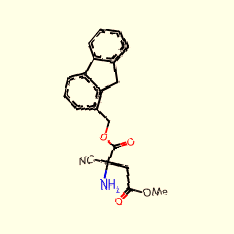 COC(=O)CC(N)(C#N)C(=O)OCc1cccc2c1Cc1ccccc1-2